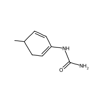 CC1C=CC(NC(N)=O)=CC1